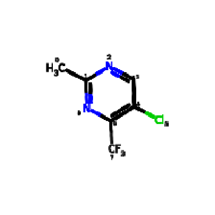 Cc1n[c]c(Cl)c(C(F)(F)F)n1